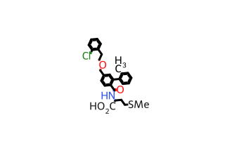 CSCCC(NC(=O)c1ccc(COCCc2ccccc2Cl)cc1-c1ccccc1C)C(=O)O